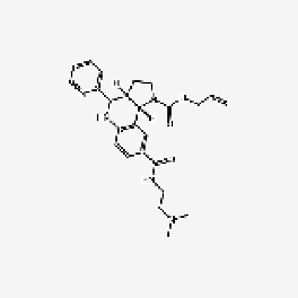 C=CCOC(=O)N1CC[C@H]2C(c3ccccn3)Nc3ccc(C(=O)NCCN(C)C)cc3[C@H]21